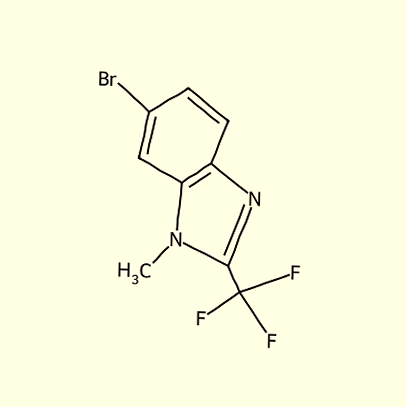 Cn1c(C(F)(F)F)nc2ccc(Br)cc21